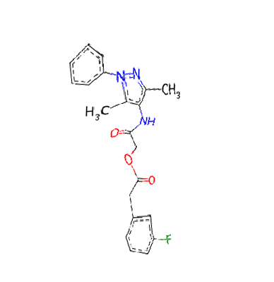 Cc1nn(-c2ccccc2)c(C)c1NC(=O)COC(=O)Cc1cccc(F)c1